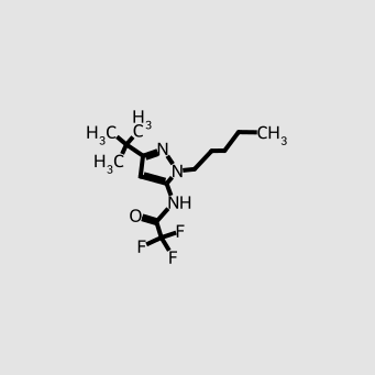 CCCCCn1nc(C(C)(C)C)cc1NC(=O)C(F)(F)F